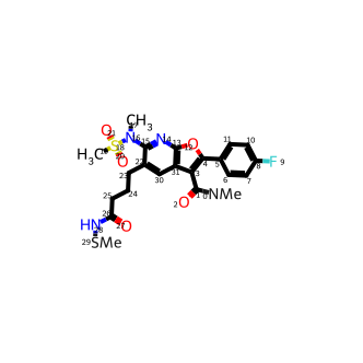 CNC(=O)c1c(-c2ccc(F)cc2)oc2nc(N(C)S(C)(=O)=O)c(CCCC(=O)NSC)cc12